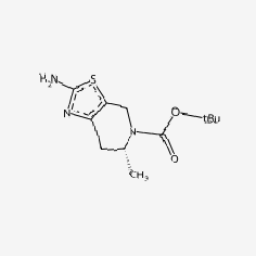 C[C@@H]1Cc2nc(N)sc2CN1C(=O)OC(C)(C)C